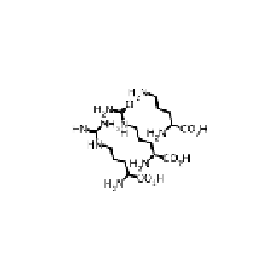 N=C(N)NCCCC(N)C(=O)O.NC(=O)NCCCC(N)C(=O)O.NCCCC(N)C(=O)O